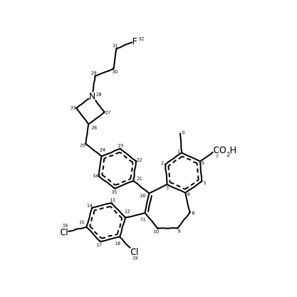 Cc1cc2c(cc1C(=O)O)CCCC(c1ccc(Cl)cc1Cl)=C2c1ccc(CC2CN(CCCF)C2)cc1